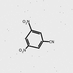 N#Cc1cc([N+](=O)[O-])[c]c([N+](=O)[O-])c1